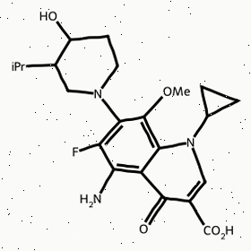 COc1c(N2CCC(O)C(C(C)C)C2)c(F)c(N)c2c(=O)c(C(=O)O)cn(C3CC3)c12